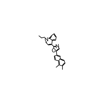 CCC[n+]1ccc(-c2ncc(-c3ccc4c(C)c(C)ccc4c3)o2)c2ccccc21